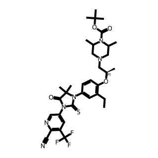 CCc1cc(N2C(=S)N(c3cnc(C#N)c(C(F)(F)F)c3)C(=O)C2(C)C)ccc1O[C@H](C)CN1CC(C)N(C(=O)OC(C)(C)C)C(C)C1